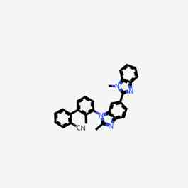 Cc1c(-c2ccccc2C#N)cccc1-n1c(C)nc2ccc(-c3nc4ccccc4n3C)cc21